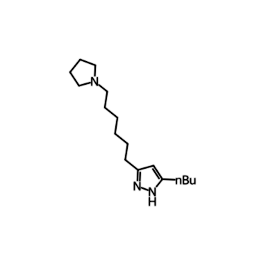 CCCCc1cc(CCCCCCN2CCCC2)n[nH]1